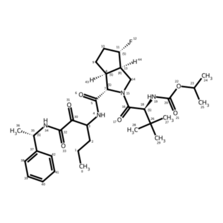 CCCC(NC(=O)[C@@H]1[C@H]2CC[C@H](F)[C@H]2CN1C(=O)[C@@H](NC(=O)OC(C)C)C(C)(C)C)C(=O)C(=O)N[C@@H](C)c1ccccc1